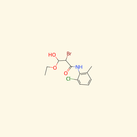 CCOC(O)C(Br)C(=O)Nc1c(C)cccc1Cl